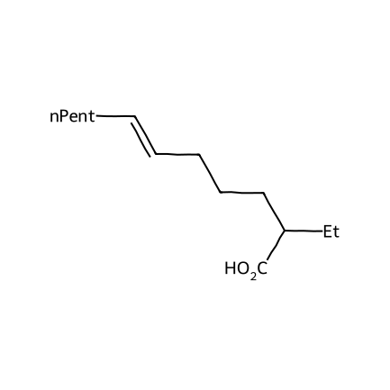 CCCCCC=CCCCC(CC)C(=O)O